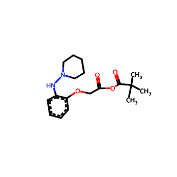 CC(C)(C)C(=O)OC(=O)COc1ccccc1NN1CCCCC1